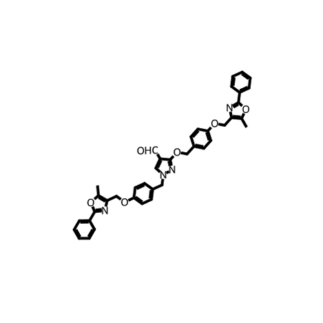 Cc1oc(-c2ccccc2)nc1COc1ccc(COc2nn(Cc3ccc(OCc4nc(-c5ccccc5)oc4C)cc3)cc2C=O)cc1